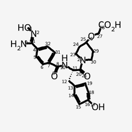 N/C(=N\O)c1ccc(C(=O)N[C@@H](Cc2ccc(O)cc2)C(=O)N2CCC(OCC(=O)O)CC2)cc1